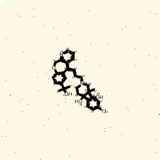 CC(C)(O)c1ccc2c(c1)C(=CCCN1CCC(O)(c3ccc(Cl)cc3)C(C)(CO)C1)c1cccnc1CO2